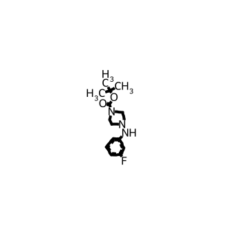 CC(C)(C)OC(=O)N1CCN(Nc2cccc(F)c2)CC1